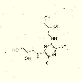 O=[N+]([O-])c1nc(Cl)c(NCC(O)CO)nc1NCC(O)CO